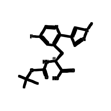 Cn1cc(-c2ncc(F)cc2C[C@H](NC(=O)OC(C)(C)C)C(=O)O)cn1